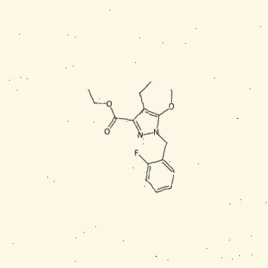 CCOC(=O)c1nn(Cc2ccccc2F)c(OC)c1CC